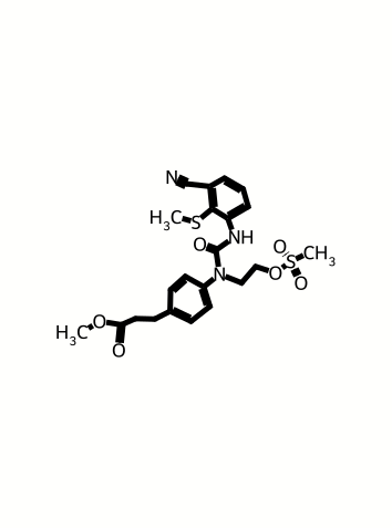 COC(=O)CCc1ccc(N(CCOS(C)(=O)=O)C(=O)Nc2cccc(C#N)c2SC)cc1